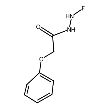 O=C(COc1ccccc1)NNF